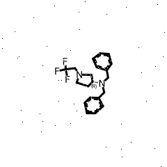 FC(F)(F)CN1CC[C@@H](N(Cc2ccccc2)Cc2ccccc2)C1